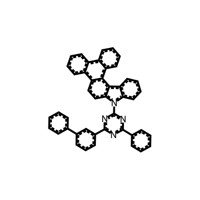 c1ccc(-c2cccc(-c3nc(-c4ccccc4)nc(-n4c5ccccc5c5c6c7ccccc7c7ccccc7c6ccc54)n3)c2)cc1